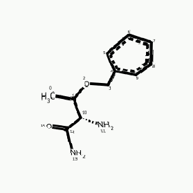 CC(OCc1ccccc1)[C@H](N)C(N)=O